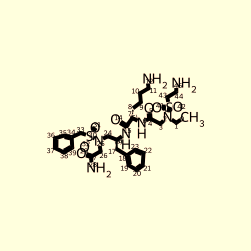 CCN(CC(=O)N[C@@H](CCCCN)C(=O)N[C@@H](Cc1ccccc1)CN(CC(N)=O)S(=O)(=O)Cc1ccccc1)S(=O)(=O)CCN